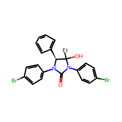 CCC1(O)[C@H](c2ccccc2)N(c2ccc(Br)cc2)C(=O)N1c1ccc(Br)cc1